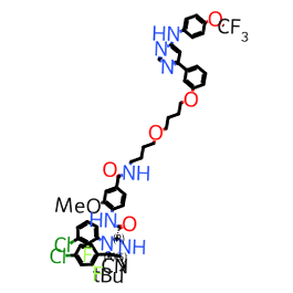 COc1cc(C(=O)NCCCCOCCCCOc2cccc(-c3cc(Nc4ccc(OC(F)(F)F)cc4)ncn3)c2)ccc1NC(=O)[C@@H]1N[C@@H](CC(C)(C)C)[C@](C#N)(c2ccc(Cl)cc2F)N1c1cccc(Cl)c1F